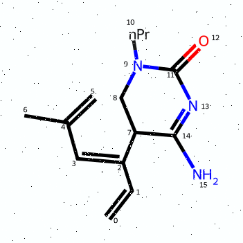 C=C/C(=C/C(=C)C)C1CN(CCC)C(=O)N=C1N